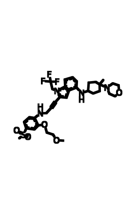 COCCOc1cc(S(C)(=O)=O)ccc1NCC#Cc1cc2c(NC3CCC(C)(N4CCOCC4)CC3)cccc2n1CC(F)(F)F